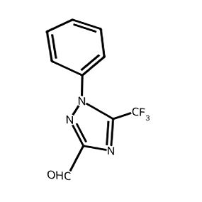 O=Cc1nc(C(F)(F)F)n(-c2ccccc2)n1